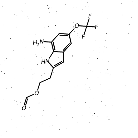 Nc1cc(OC(F)(F)F)cc2cc(CCOC=O)[nH]c12